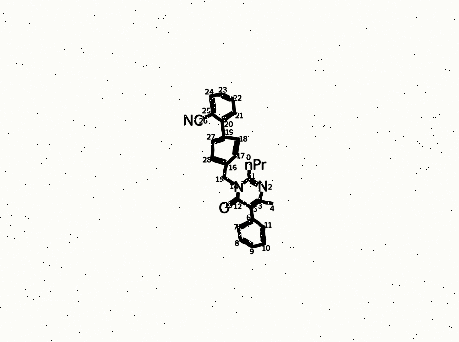 CCCc1nc(C)c(-c2ccccc2)c(=O)n1Cc1ccc(-c2ccccc2C#N)cc1